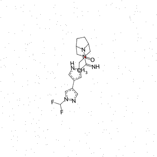 CCC(=O)N1C2CCC1CN(C(=N)c1cc(-c3cnn(C(F)F)c3)c[nH]1)C2